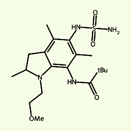 COCCN1c2c(c(C)c(NS(N)(=O)=O)c(C)c2NC(=O)C(C)(C)C)CC1C